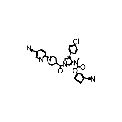 CN(C(=O)Oc1cccc(C#N)c1)[C@@H]1CN(C(=O)C2CCN(c3ccc(C#N)cn3)CC2)C[C@H]1c1ccc(Cl)cc1